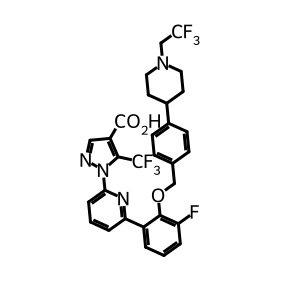 O=C(O)c1cnn(-c2cccc(-c3cccc(F)c3OCc3ccc(C4CCN(CC(F)(F)F)CC4)cc3)n2)c1C(F)(F)F